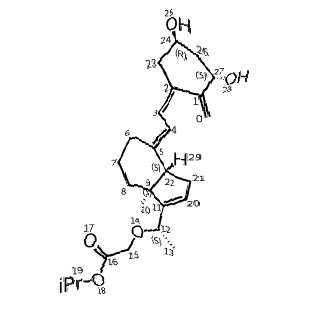 C=C1C(=CC=C2CCC[C@]3(C)C([C@H](C)OCC(=O)OC(C)C)=CC[C@@H]23)C[C@@H](O)C[C@@H]1O